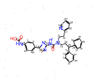 O=C(O)Nc1ccc(-c2nc(NC(=O)N(CCc3ccccn3)CCC(c3ccccc3)c3ccccc3)ns2)cc1